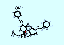 COc1ccc(CO[C@@H]2CC[C@@]3(O)[C@H]4Cc5ccc(OCc6ccccc6)c6c5[C@@]3(CCN4CC3CC3)[C@H]2O6)cc1